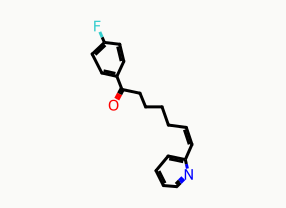 O=C(CCCC/C=C\c1ccccn1)c1ccc(F)cc1